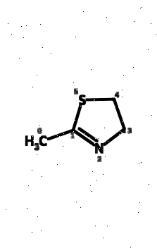 CC1=N[CH]CS1